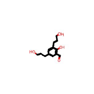 O=Cc1cc(CCCO)cc(CCCO)c1O